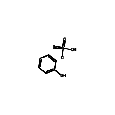 O=S(=O)(O)Cl.Oc1ccccc1